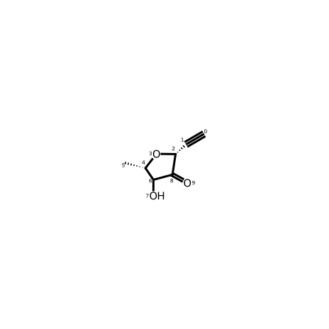 C#C[C@H]1O[C@@H](C)C(O)C1=O